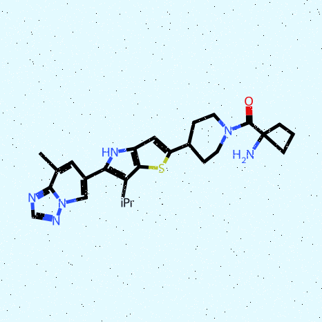 Cc1cc(-c2[nH]c3cc(C4CCN(C(=O)C5(N)CCC5)CC4)sc3c2C(C)C)cn2ncnc12